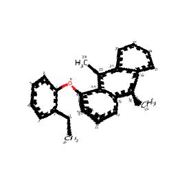 CCc1ccccc1Oc1cccc2c(C)c3ccccc3c(C)c12